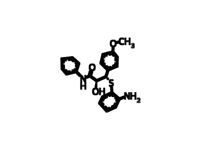 COc1ccc([C@H](Sc2ccccc2N)[C@@H](O)C(=O)Nc2ccccc2)cc1